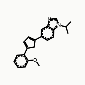 COc1ccccc1C1=CC=C(c2ccc3c(c2)ncn3C(C)C)C1